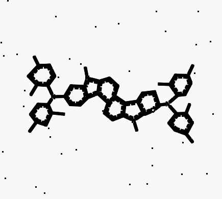 Cc1ccc(N(c2ccc3c4c5ccc6c(c5ccc4n(C)c3c2)c2ccc(N(c3ccc(C)cc3C)c3ccc(C)cc3C)cc2n6C)c2ccc(C)cc2C)c(C)c1